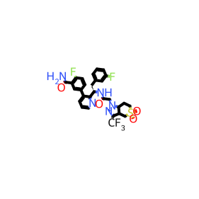 NC(=O)c1cc(-c2cccnc2[C@H](Cc2cccc(F)c2)NC(=O)CN2N=C(C(F)(F)F)C3CS(=O)(=O)CCC32)ccc1F